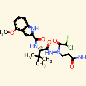 COc1cccc2[nH]c(C(=O)N[C@H](C(=O)NN(CCC(N)=O)C(=O)C(F)Cl)C(C)(C)C)cc12